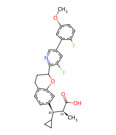 COc1ccc(F)c(-c2cnc(C3CCc4ccc([C@H](C5CC5)[C@H](C)C(=O)O)cc4O3)c(F)c2)c1